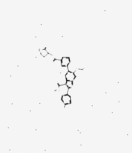 CCNc1cc2oc(-c3ccc(F)cc3)c(C(=O)NC)c2cc1-c1cccc(C(=O)NC2CCNC2=O)c1